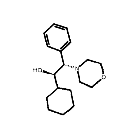 O[C@H](C1CCCCC1)[C@H](c1ccccc1)N1CCOCC1